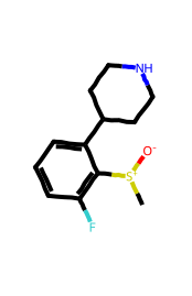 C[S+]([O-])c1c(F)cccc1C1CCNCC1